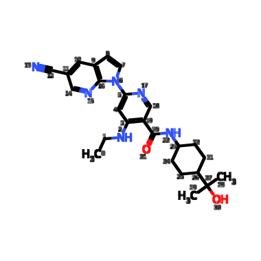 CCNc1cc(-n2ccc3cc(C#N)cnc32)ncc1C(=O)NC1CCC(C(C)(C)O)CC1